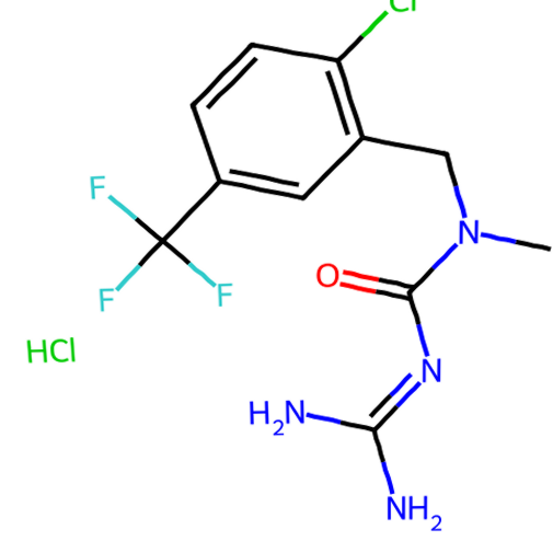 CN(Cc1cc(C(F)(F)F)ccc1Cl)C(=O)N=C(N)N.Cl